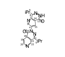 CC(C)c1nn(-c2cnc3c(C(C)C)n[nH]c(=O)c3c2)c(=O)c2ccncc12